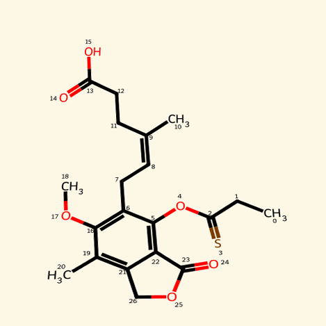 CCC(=S)Oc1c(CC=C(C)CCC(=O)O)c(OC)c(C)c2c1C(=O)OC2